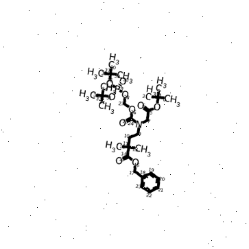 CC(C)(C)OC(=O)CN(CCC(C)(C)C(=O)OCc1ccccc1)C(=O)OCOP(=O)(OC(C)(C)C)OC(C)(C)C